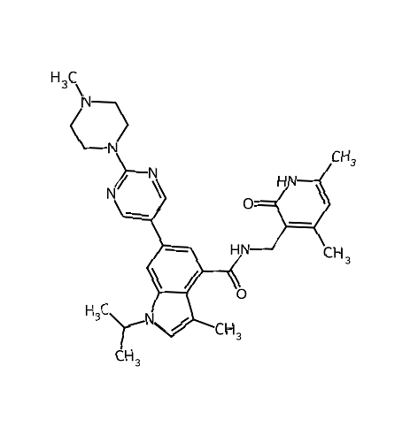 Cc1cc(C)c(CNC(=O)c2cc(-c3cnc(N4CCN(C)CC4)nc3)cc3c2c(C)cn3C(C)C)c(=O)[nH]1